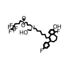 O=S(=O)(CCCN(CCO)CCCCCCC1=C(c2ccc(F)cc2)CCCc2c1ccc(O)c2F)CCCC(F)(F)C(F)(F)F